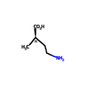 C[C@H](CCN)C(=O)O